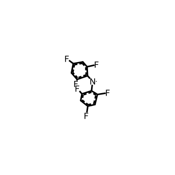 Fc1cc(F)c([N]c2c(F)cc(F)cc2F)c(F)c1